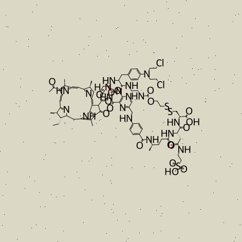 CC[C@H]1C2Cc3[nH]c4c(c3C)C(=O)C(C(=O)OC)/C4=C3N=C(/C=c4\[nH]/c(c(C(C)=O)c4C)=C\C(=N2)[C@@H]1C)[C@@H](C)[C@@H]/3CCC(=O)NC(Cc1ccc(N(CCCl)CCCl)cc1)C(=O)NCCNC(=O)OCCSSC[C@H](NC(=O)[C@H](CC(=O)NCCS(=O)(=O)O)NC(=O)CC[C@@H](C)NC(=O)c1ccc(NCc2cnc3nc(N)[nH]c(=O)c3n2)cc1)C(=O)O